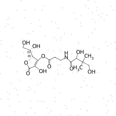 CC(C)(CO)C(O)C(=O)NCCC(=O)OC1=C(O)C(=O)O[C@@H]1[C@@H](O)CO